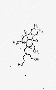 CCOP(=O)(OCC)C(NC(=O)CN(CCO)CCO)P(=O)(OCC)OCC